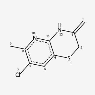 C=C1CSc2cc(Cl)c(C)nc2N1